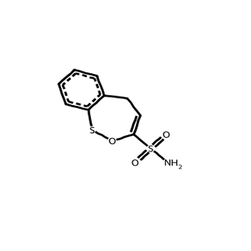 NS(=O)(=O)C1=CCc2ccccc2SO1